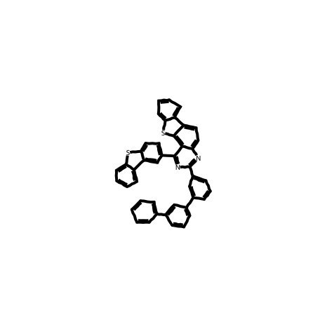 c1ccc(-c2cccc(-c3cccc(-c4nc(-c5ccc6sc7ccccc7c6c5)c5c(ccc6c7ccccc7sc65)n4)c3)c2)cc1